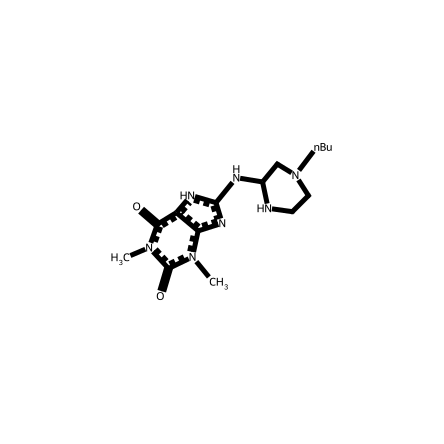 CC[CH]CN1CCNC(Nc2nc3c([nH]2)c(=O)n(C)c(=O)n3C)C1